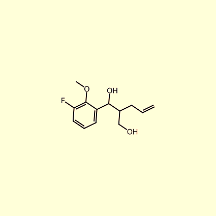 C=CCC(CO)C(O)c1cccc(F)c1OC